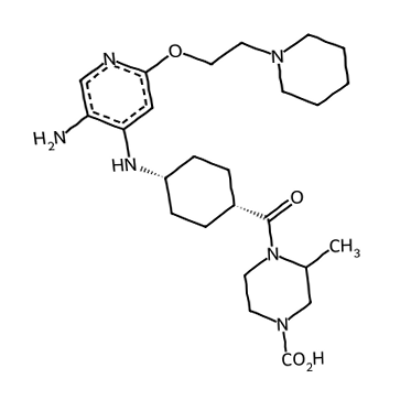 CC1CN(C(=O)O)CCN1C(=O)[C@H]1CC[C@@H](Nc2cc(OCCN3CCCCC3)ncc2N)CC1